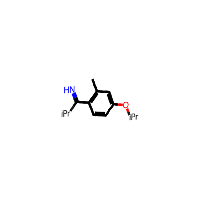 Cc1cc(OC(C)C)ccc1C(=N)C(C)C